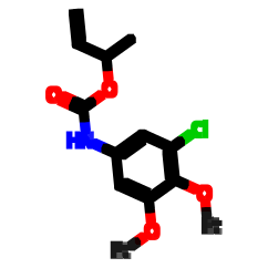 C=CC(C)OC(=O)Nc1cc(Cl)c(OCC)c(OCC)c1